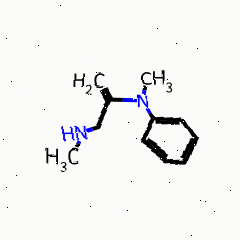 C=C(CNC)N(C)c1ccccc1